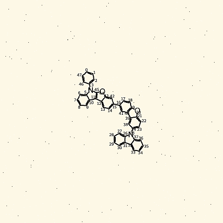 c1ccc(-n2c3ccccc3c3c4ccc(-c5ccc6oc7ccc(-n8c9ccccc9c9ccccc98)cc7c6c5)cc4oc32)cc1